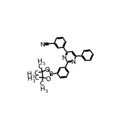 CC1(C)OB(c2cccc(-c3nc(-c4ccccc4)cc(-c4cccc(C#N)c4)n3)c2)OC1(C)C